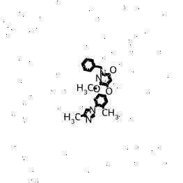 COc1nn(Cc2ccccc2)c(=O)cc1Oc1ccc(-n2cnc(C)c2)c(C)c1